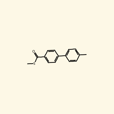 CSC(=O)c1ccc(-c2ccc(C)cc2)cc1